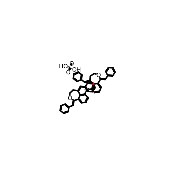 C(=C1OCCC(=Cc2ccccc2)c2c(Oc3cccc4c3C(=Cc3ccccc3)CCOC4=Cc3ccccc3)cccc21)c1ccccc1.O=S(=O)(O)O